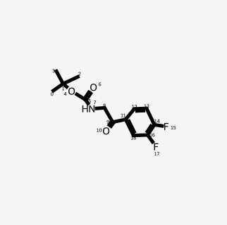 CC(C)(C)OC(=O)NCC(=O)c1ccc(F)c(F)c1